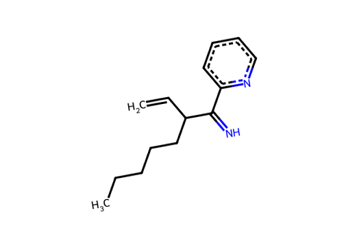 C=CC(CCCCC)C(=N)c1ccccn1